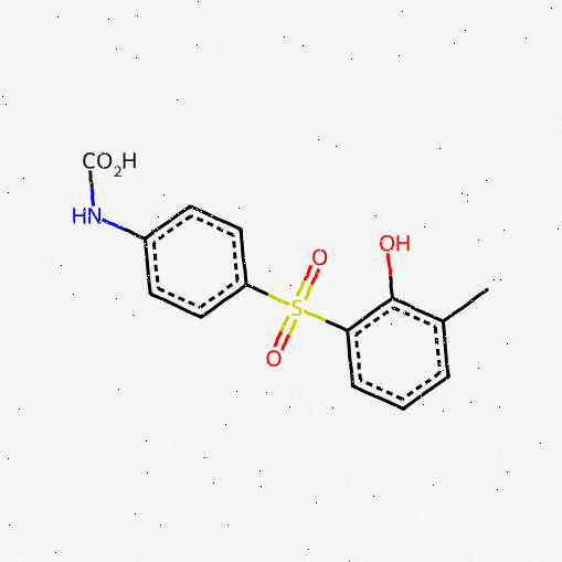 Cc1cccc(S(=O)(=O)c2ccc(NC(=O)O)cc2)c1O